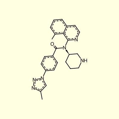 Cc1cn(-c2ccc(C(=O)N(c3nccc4cccc(C)c34)[C@@H]3CCCNC3)cc2)nn1